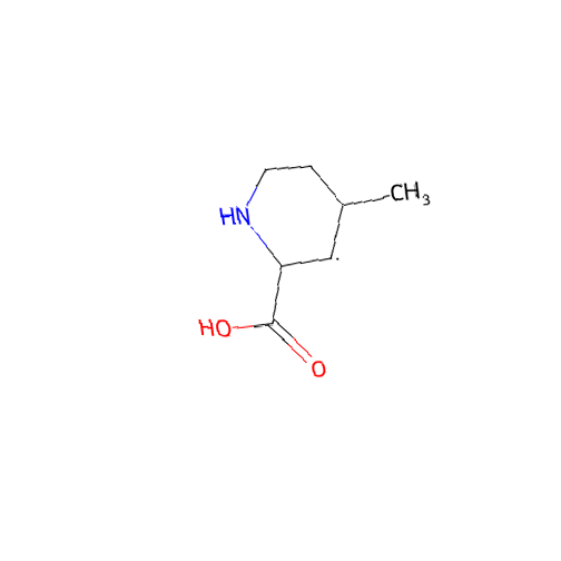 CC1[CH]C(C(=O)O)NCC1